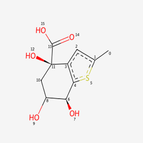 Cc1cc2c(s1)[C@@H](O)C(O)C[C@]2(O)C(=O)O